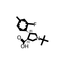 Cc1ccc([C@@H]2CN(C(C)(C)C)C[C@H]2C(=O)O)c(F)c1